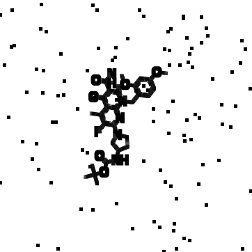 COc1ccc(Cn2cc(C(N)=O)c(=O)c3c(C)c(F)c(N4CCC(NC(=O)OC(C)(C)C)C4)nc32)c(OC)c1